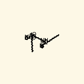 CCCCCCCCCCCCN(CCC1CCCN1C)C(C(=O)NCCCCCCNC(=O)C(C(C)C)N(CCC1CCCN1C)C(=O)CCCCCCCCCCC)C(C)C